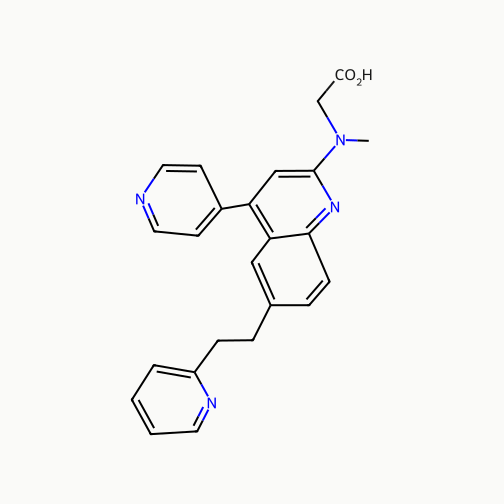 CN(CC(=O)O)c1cc(-c2ccncc2)c2cc(CCc3ccccn3)ccc2n1